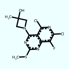 CSc1nc(N2CC(C)(O)C2)c2c(Cl)nc(Cl)c(F)c2n1